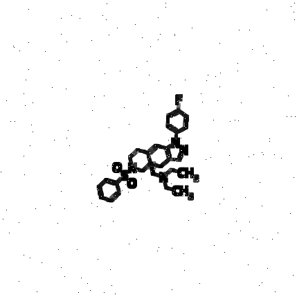 CCN(CC)C[C@]12Cc3cnn(-c4ccc(F)cc4)c3C=C1CCN(S(=O)(=O)c1ccccc1)C2